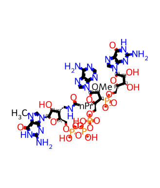 CCCC(=O)NC[C@H]1[C@@H](O)[C@H](n2c[n+](C)c3c(=O)[nH]c(N)nc32)O[C@@H]1COP(=O)(O)OP(=O)(O)OP(=O)(O)OC[C@H]1O[C@@H](n2cnc3c(N)ncnc32)[C@H](OC)[C@@H]1P(=O)([O-])OC[C@H]1O[C@@H](n2cnc3c(=O)[nH]c(N)nc32)[C@H](O)[C@@H]1O